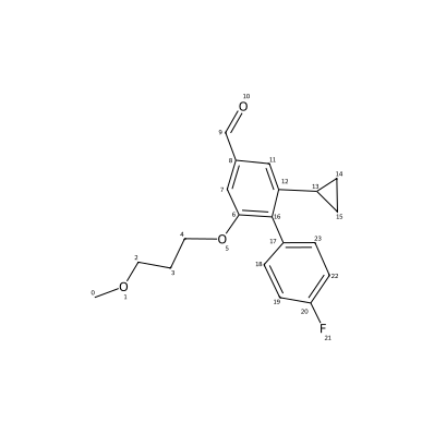 COCCCOc1cc(C=O)cc(C2CC2)c1-c1ccc(F)cc1